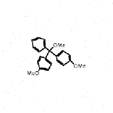 COc1ccc(C(OC)(c2ccccc2)c2ccc(OC)cc2)cc1